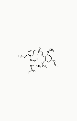 COc1cc(OC)c(C=CS(=O)(=O)Cc2ccc(OC)c(OC(=O)C(C)OC(C)=O)c2)c(OC)c1